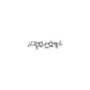 CC(F)(F)CNC(=O)c1nc(-c2ccc3nc(NC(=O)C4CC4)cn3c2)c[nH]1